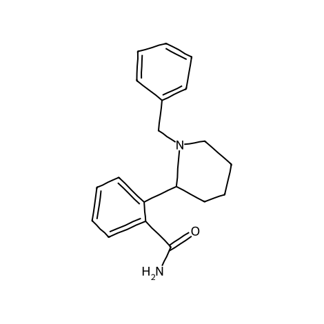 NC(=O)c1ccccc1C1CCCCN1Cc1ccccc1